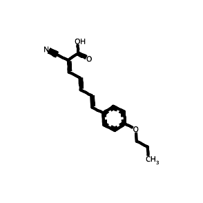 CCCOc1ccc(C=CC=CC=C(C#N)C(=O)O)cc1